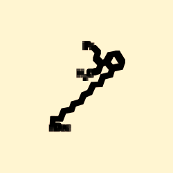 C=C/C(=C/CC(C)C)c1ccccc1CCCCCCCCCCCCCCCCCCCCCC